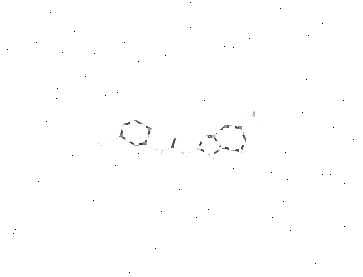 N#Cc1cccc(NC(=O)Nc2nc3ccc(N)cc3s2)c1